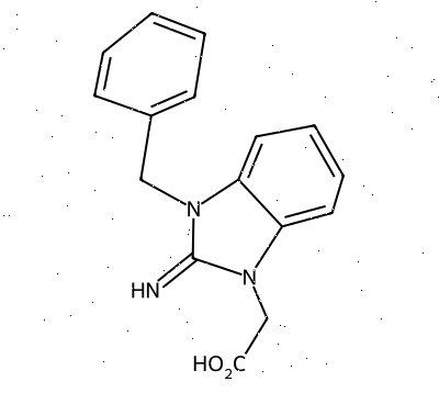 N=c1n(CC(=O)O)c2ccccc2n1Cc1ccccc1